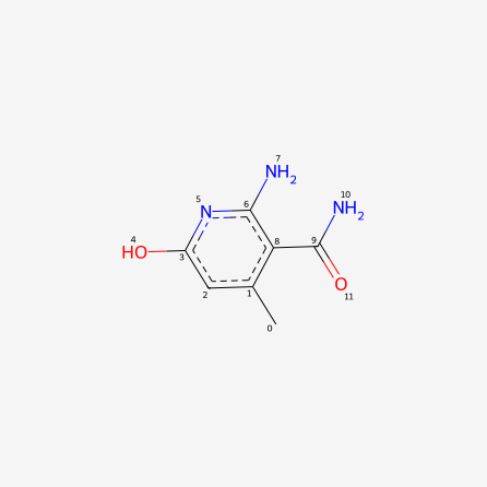 Cc1cc(O)nc(N)c1C(N)=O